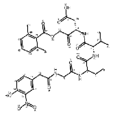 CCC(NC(=O)CNC(=O)Cc1ccc(O)c([N+](=O)[O-])c1)C(=O)N[C@H](C(=O)N[C@@H](CC(=O)O)C(=O)COC(=O)c1c(C)cccc1C)C(C)C